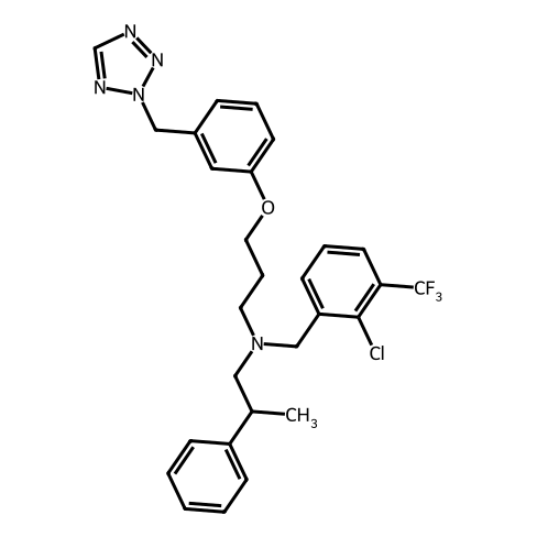 CC(CN(CCCOc1cccc(Cn2ncnn2)c1)Cc1cccc(C(F)(F)F)c1Cl)c1ccccc1